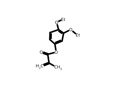 C=C(C)C(=O)Oc1ccc(OCC)c(OCC)c1